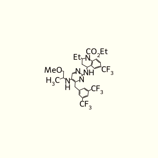 CCOC(=O)N1c2ccc(C(F)(F)F)cc2[C@@H](Nc2ncc(NC(C)COC)c(Cc3cc(C(F)(F)F)cc(C(F)(F)F)c3)n2)C[C@H]1CC